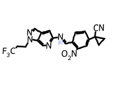 N#CC1(c2ccc(/C=N/c3cc4cnn(CCC(F)(F)F)c4cn3)c([N+](=O)[O-])c2)CC1